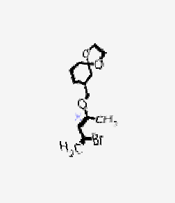 C=C(Br)/C=C(\C)OCC1CCCC2(C1)OCCO2